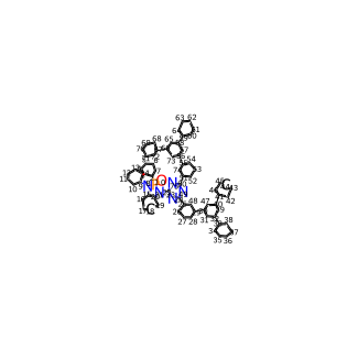 O=P1(c2ccccc2)N(c2ccccc2)c2ccccc2N1c1nc(-c2cccc(-c3cc(-c4ccccc4)cc(-c4ccccc4)c3)c2)nc(-c2cccc(-c3cc(-c4ccccc4)cc(-c4ccccc4)c3)c2)n1